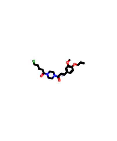 C=CCOc1ccc(/C=C/C(=O)N2CCN(C(=O)CCCCCl)CC2)cc1OC